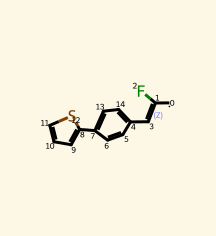 [CH2]/C(F)=C/c1ccc(-c2cccs2)cc1